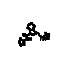 O=C(Nc1nccs1)c1cn(CCc2nnn[nH]2)c2ccccc12